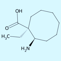 CC[C@]1(C(=O)O)CCCCCC[C@H]1N